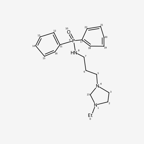 CCN1CCN(CCCNP(=O)(c2ccccc2)c2ccccc2)C1